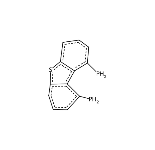 Pc1cccc2sc3cccc(P)c3c12